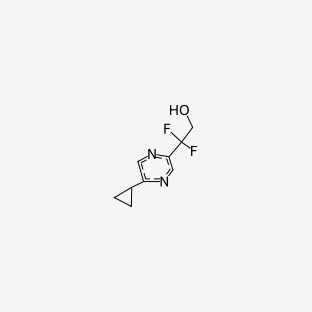 OCC(F)(F)c1cnc(C2CC2)cn1